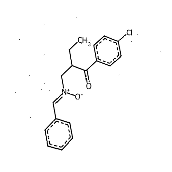 CCC(C[N+]([O-])=Cc1ccccc1)C(=O)c1ccc(Cl)cc1